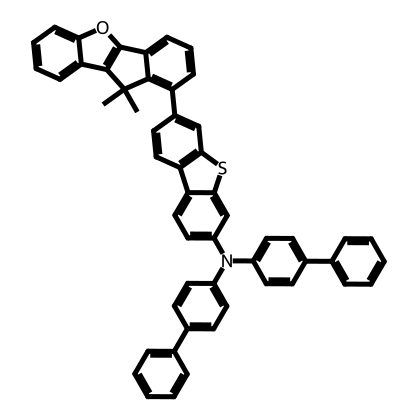 CC1(C)c2c(-c3ccc4c(c3)sc3cc(N(c5ccc(-c6ccccc6)cc5)c5ccc(-c6ccccc6)cc5)ccc34)cccc2-c2oc3ccccc3c21